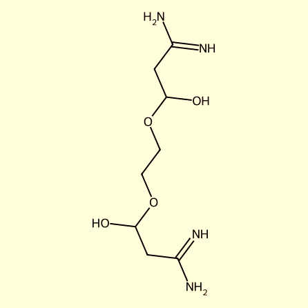 N=C(N)CC(O)OCCOC(O)CC(=N)N